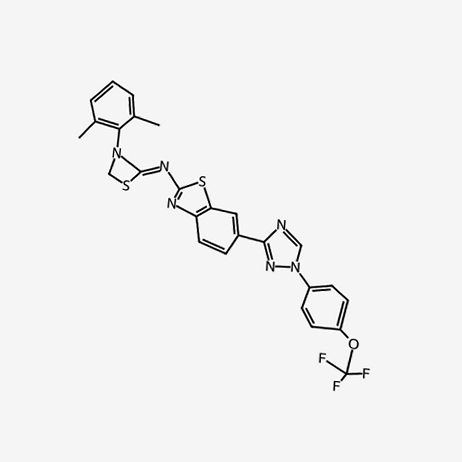 Cc1cccc(C)c1N1CS/C1=N\c1nc2ccc(-c3ncn(-c4ccc(OC(F)(F)F)cc4)n3)cc2s1